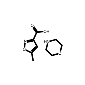 C1COCCN1.Cc1cc(C(=O)O)no1